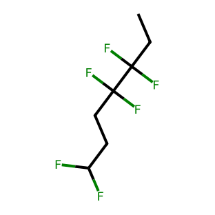 CCC(F)(F)C(F)(F)CCC(F)F